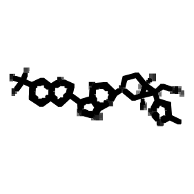 Cc1cc([C@@]2(CN)[C@@H]3CCN(c4cnc5c(-c6cnc7cc(C(F)(F)F)ccc7c6)n[nH]c5n4)C[C@@H]32)no1